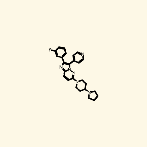 Fc1cccc(-c2nc3ccc(N4CCC(N5CCCC5)CC4)nn3c2-c2ccncc2)c1